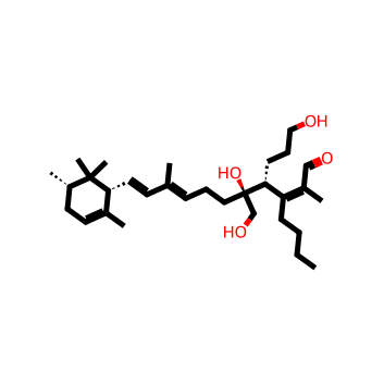 CCCC/C(=C(\C)C=O)[C@@H](CCCO)[C@](O)(CO)CC/C=C(C)/C=C/[C@@H]1C(C)=CC[C@H](C)C1(C)C